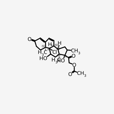 CC(=O)OCC(=O)[C@@]1(O)C(C)C[C@H]2[C@@H]3C=CC4=CC(=O)CC[C@]4(C)[C@@]3(Cl)C(O)C[C@@]21C